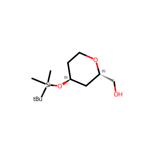 CC(C)(C)[Si](C)(C)O[C@H]1CCO[C@H](CO)C1